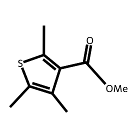 COC(=O)c1c(C)sc(C)c1C